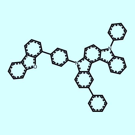 c1ccc(-c2ccc3c(c2)c2c4c5ccccc5n(-c5ccccc5)c4ccc2n3-c2ccc(-c3cccc4c3oc3ccccc34)cc2)cc1